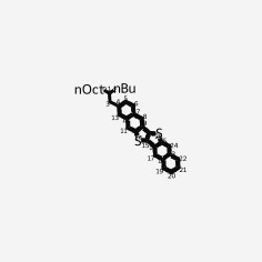 CCCCCCCCC(CCCC)Cc1ccc2cc3c(cc2c1)sc1c2cc4ccccc4cc2sc31